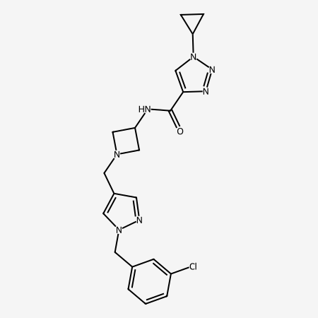 O=C(NC1CN(Cc2cnn(Cc3cccc(Cl)c3)c2)C1)c1cn(C2CC2)nn1